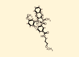 COCCCNC(=O)c1cccc(S(=O)(=O)N(C)c2nc3ccccc3nc2Nc2cc(OC)ccc2Cl)c1